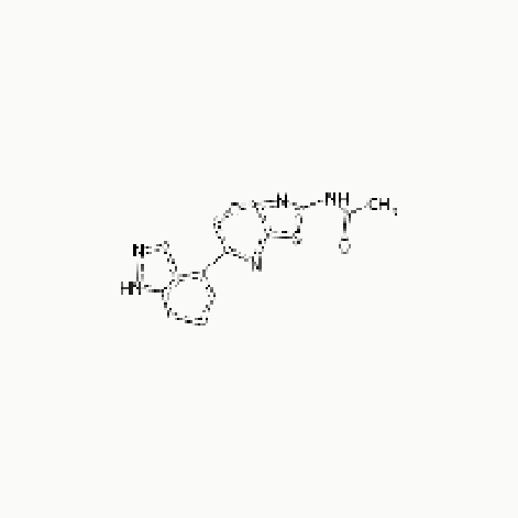 CC(=O)Nc1nc2ccc(-c3cccc4[nH]ncc34)nc2s1